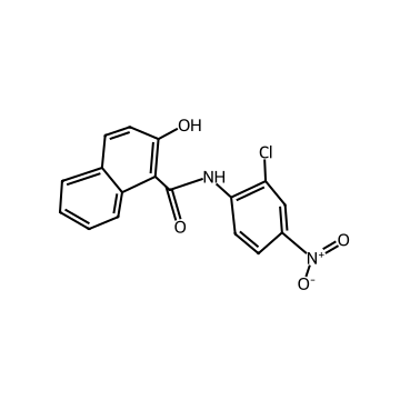 O=C(Nc1ccc([N+](=O)[O-])cc1Cl)c1c(O)ccc2ccccc12